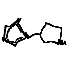 c1ncn(C2CCNC2)n1